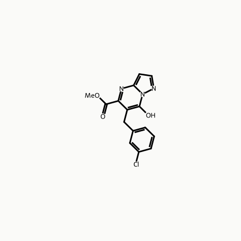 COC(=O)c1nc2ccnn2c(O)c1Cc1cccc(Cl)c1